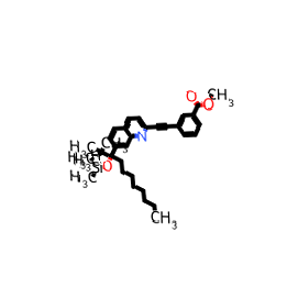 CCCCCCCCC(O[SiH](C)C)(c1ccc2ccc(C#Cc3cccc(C(=O)OC)c3)nc2c1)C(C)(C)C